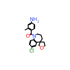 Cc1cc(N)ccc1C(=O)N1CCCC2(CCOC2)c2cc(Cl)ccc21